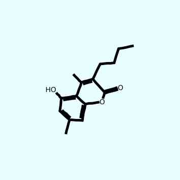 CCCCc1c(C)c2c(O)cc(C)cc2oc1=O